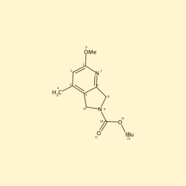 COc1cc(C)c2c(n1)CN(C(=O)OC(C)(C)C)C2